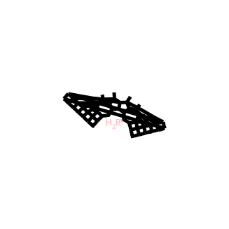 BC1C2C3CC4C5C6C7C8C9C%10C%11C%12C%13C%14CC%15C%16CC%17C%18C1C1%19C%20(C)C%21(C)C2(C)C34C5%21C6%20C71C81C%19(C)C%182C3(C)C%174C5(C)C6(C)C%16(C)C%15%14C%136C%125C%114C%103C921